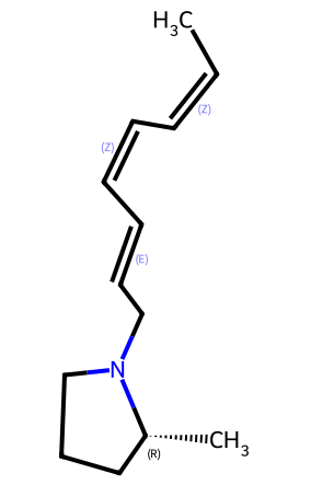 C\C=C/C=C\C=C\CN1CCC[C@H]1C